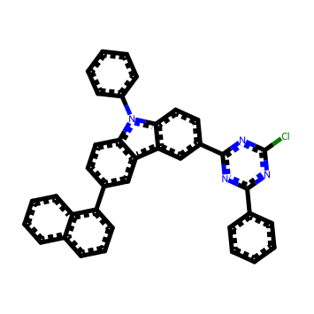 Clc1nc(-c2ccccc2)nc(-c2ccc3c(c2)c2cc(-c4cccc5ccccc45)ccc2n3-c2ccccc2)n1